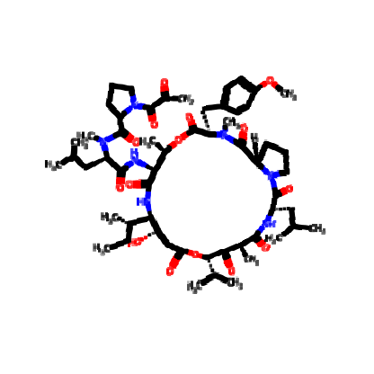 CC[C@H](C)[C@H]1NC(=O)[C@@H](NC(=O)[C@@H](CC(C)C)N(C)C(=O)C2CCCN2C(=O)C(C)=O)[C@@H](C)OC(=O)[C@H](Cc2ccc(OC)cc2)N(C)C(=O)[C@@H]2CCCN2C(=O)[C@H](CC(C)C)NC(=O)[C@@H](C)C(=O)[C@H](C(C)C)OC(=O)C[C@@H]1O